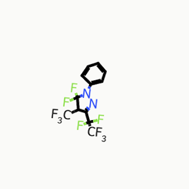 FC(F)(F)C1C(C(F)(F)C(F)(F)F)=NN(c2ccccc2)C1(F)F